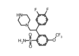 NS(=O)(=O)c1ccc(OC(F)(F)F)cc1C(CN1CCNCC1)c1ccc(F)c(F)c1